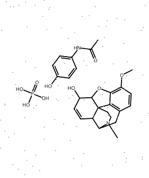 CC(=O)Nc1ccc(O)cc1.COc1ccc2c3c1OC1C(O)C=CC4C(C2)N(C)CCC341.O=P(O)(O)O